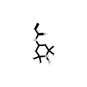 C=CC(=O)OC1CC(C)(C)N([O])C(C)(C)C1